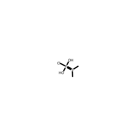 CS(C)=P(O)(O)Cl